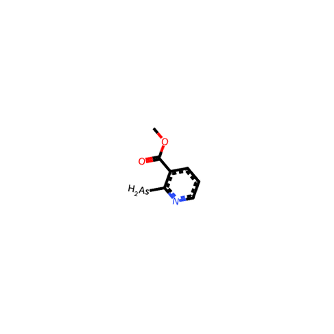 COC(=O)c1cccnc1[AsH2]